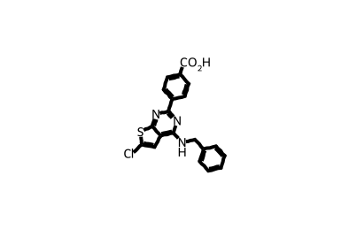 O=C(O)c1ccc(-c2nc(NCc3ccccc3)c3cc(Cl)sc3n2)cc1